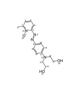 Cc1cccc(N=Nc2ccc(N(CCO)CCO)cc2)[n+]1[O-]